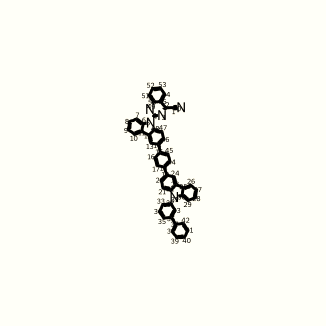 N#Cc1nc(-n2c3ccccc3c3cc(-c4ccc(-c5ccc6c(c5)c5ccccc5n6-c5cccc(-c6ccccc6)c5)cc4)ccc32)nc2ccccc12